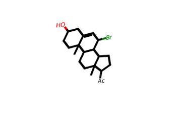 CC(=O)C1CCC2C3C(Br)C=C4CC(O)CCC4(C)C3CCC12C